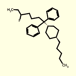 CCCCC[C@H]1CC[C@H](C(CCCC(F)CC)(c2ccccc2)c2ccccc2)CC1